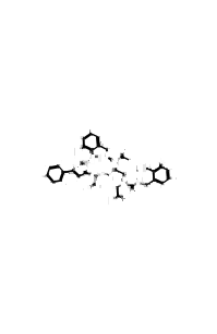 CC(=O)N(NCc1cccc(F)c1Cl)[C@H](CON(C=O)c1cc(-c2ccccc2)on1)CN(CC(F)F)C(=O)NCc1cccc(F)c1Cl